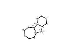 C1CCN2NC3CCCCN3N2CC1